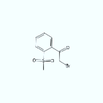 CS(=O)(=O)c1ccccc1C(=O)CBr